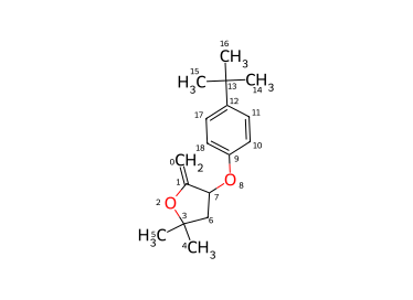 C=C1OC(C)(C)CC1Oc1ccc(C(C)(C)C)cc1